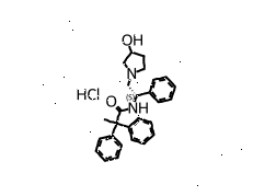 CC(C(=O)N[C@H](CN1CCC(O)C1)c1ccccc1)(c1ccccc1)c1ccccc1.Cl